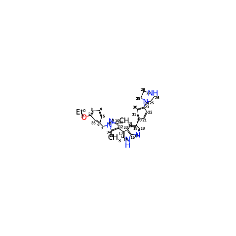 CCOc1cccc(Cn2nc(C)c(-c3c[nH]c4ncc(-c5ccc(N6CCNCC6)cc5)cc34)c2C)c1